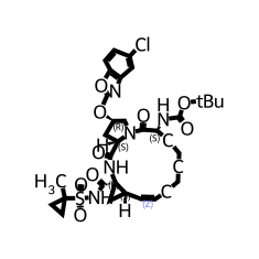 CC(C)(C)OC(=O)N[C@H]1CCCCC/C=C\[C@@H]2C[C@@]2(C(=O)NS(=O)(=O)C2(C)CC2)NC(=O)[C@@H]2C[C@@H](Oc3nc4cc(Cl)ccc4o3)CN2C1=O